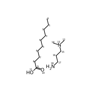 CCCCCCCCCC(=O)O.CN(C)CCCN